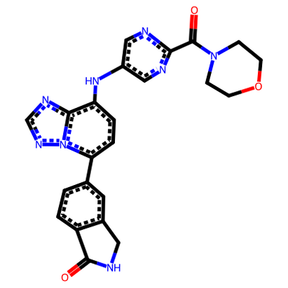 O=C1NCc2cc(-c3ccc(Nc4cnc(C(=O)N5CCOCC5)nc4)c4ncnn34)ccc21